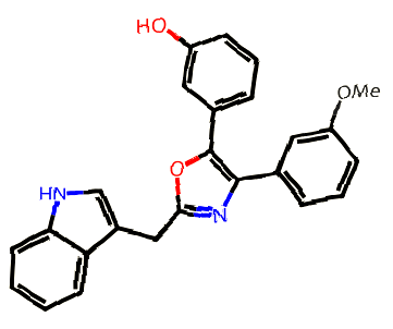 COc1cccc(-c2nc(Cc3c[nH]c4ccccc34)oc2-c2cccc(O)c2)c1